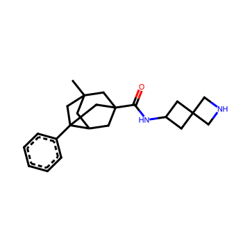 CC12CC3CC(C(=O)NC4CC5(CNC5)C4)(C1)CC3(c1ccccc1)C2